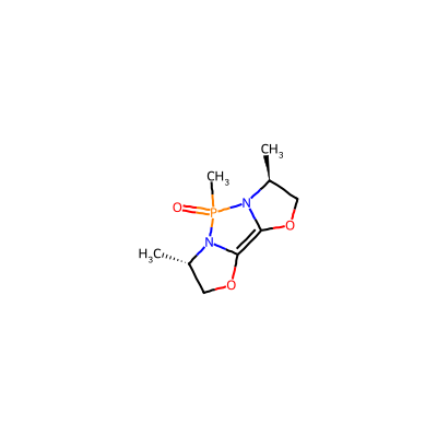 C[C@H]1COC2=C3OC[C@H](C)N3P(C)(=O)N21